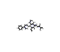 C=C/C(=C\C)N(C/C=C\C(=C/C)c1ccccc1)C(/C=C\C)=C(C)\C(C)=C\C=C(/C)C(=C)C